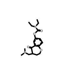 CCN(CC)C(=O)Oc1ccc2c(c1)C(=O)C(CN(C)C)CCO2